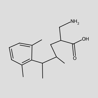 Cc1cccc(C)c1C(C)C(C)CC(CN)C(=O)O